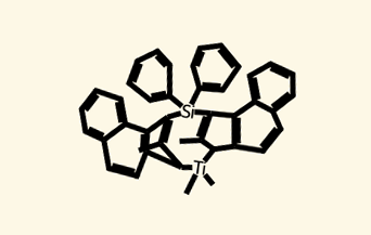 CC1=C2c3c(ccc4ccccc34)[CH]1[Ti]([CH3])([CH3])[CH]1C(C)=C(c3c1ccc1ccccc31)[Si]2(c1ccccc1)c1ccccc1